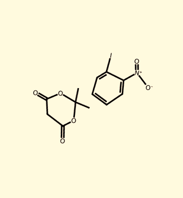 CC1(C)OC(=O)CC(=O)O1.O=[N+]([O-])c1ccccc1I